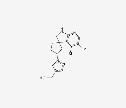 CCc1cnn(C2CCC3(CNc4ncc(Br)c(Cl)c43)C2)c1